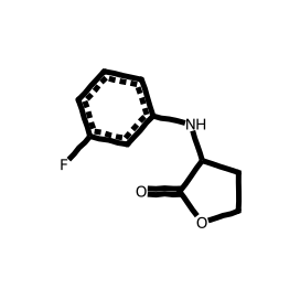 O=C1OCCC1Nc1cccc(F)c1